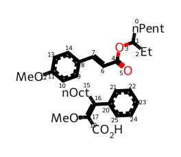 CCCCCC(CC)OC(=O)C=Cc1ccc(OC)cc1.CCCCCCCCC(=C(OC)C(=O)O)c1ccccc1